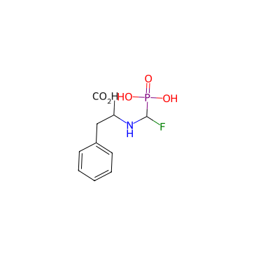 O=C(O)C(Cc1ccccc1)NC(F)P(=O)(O)O